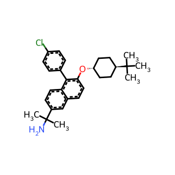 CC(C)(N)c1ccc2c(-c3ccc(Cl)cc3)c(O[C@H]3CC[C@H](C(C)(C)C)CC3)ccc2c1